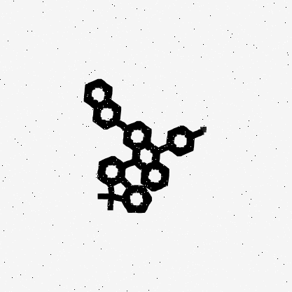 CC1(C)c2ccccc2-c2c(-c3c4ccccc4c(-c4ccc(F)cc4)c4ccc(-c5ccc6ccccc6c5)cc34)cccc21